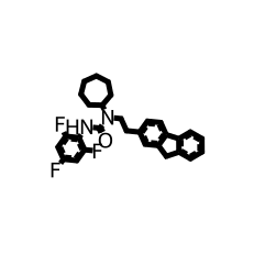 O=C(Nc1c(F)cc(F)cc1F)N(CCc1ccc2c(c1)Cc1ccccc1-2)C1CCCCCC1